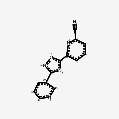 N#Cc1cccc(-c2nc(-c3cccnc3)no2)n1